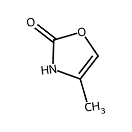 Cc1coc(=O)[nH]1